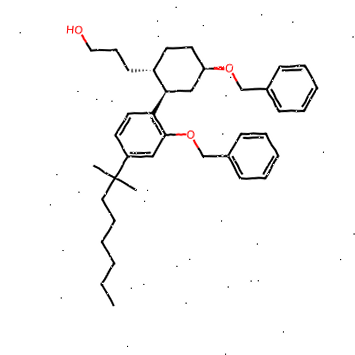 CCCCCCC(C)(C)c1ccc([C@@H]2C[C@H](OCc3ccccc3)CC[C@H]2CCCO)c(OCc2ccccc2)c1